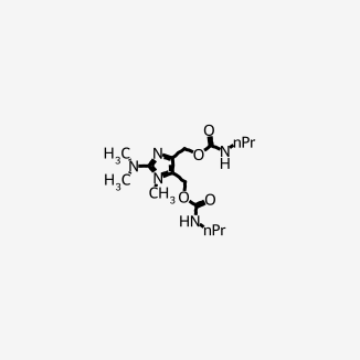 CCCNC(=O)OCc1nc(N(C)C)n(C)c1COC(=O)NCCC